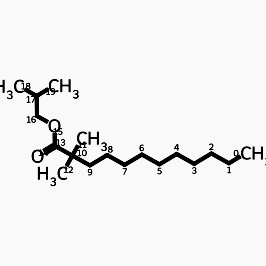 CCCCCCCCCCC(C)(C)C(=O)OCC(C)C